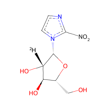 [2H][C@]1(O)[C@H](O)[C@@H](CO)O[C@H]1n1ccnc1[N+](=O)[O-]